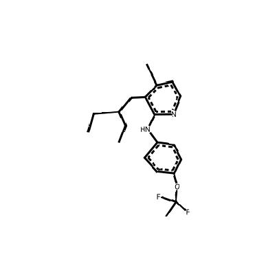 CCC(CC)Cc1c(C)ccnc1Nc1ccc(OC(C)(F)F)cc1